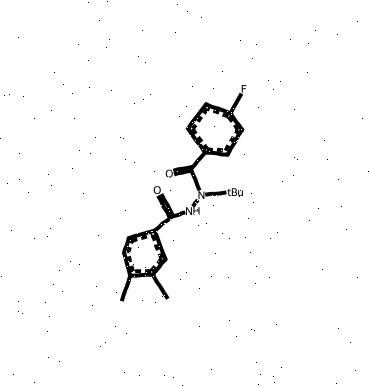 Cc1ccc(C(=O)NN(C(=O)c2ccc(F)cc2)C(C)(C)C)cc1C